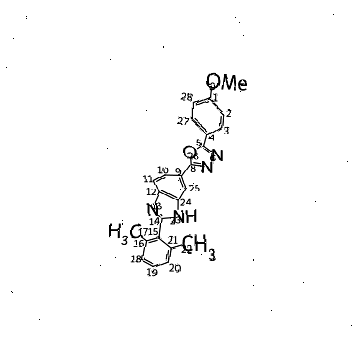 COc1ccc(-c2nnc(-c3ccc4nc(-c5c(C)cccc5C)[nH]c4c3)o2)cc1